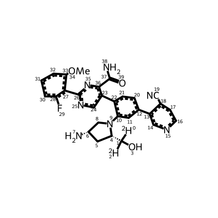 [2H]C([2H])(O)[C@@H]1C[C@H](N)CN1c1cc(-c2cnccc2C#N)ccc1-c1cnc(-c2c(F)cccc2OC)nc1C(N)=O